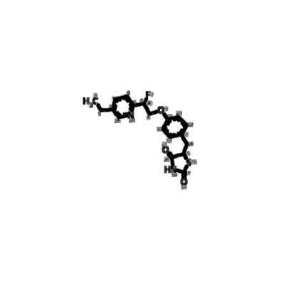 CCc1ccc([C@@H](F)COc2ccc(CC3SC(=O)NC3=O)cc2)nc1